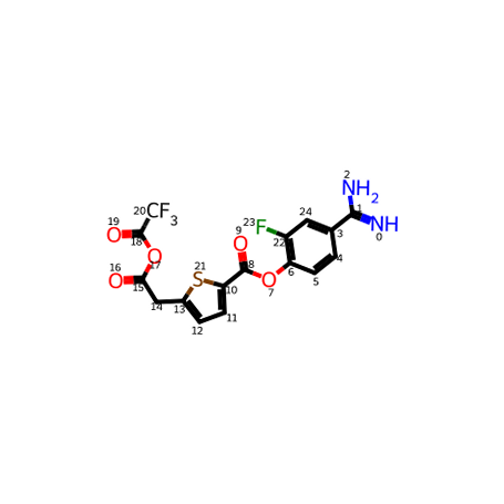 N=C(N)c1ccc(OC(=O)c2ccc(CC(=O)OC(=O)C(F)(F)F)s2)c(F)c1